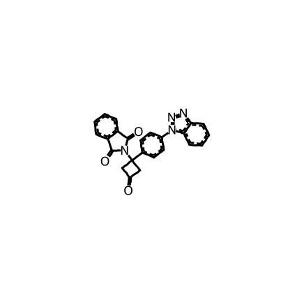 O=C1CC(c2ccc(-n3nnc4ccccc43)cc2)(N2C(=O)c3ccccc3C2=O)C1